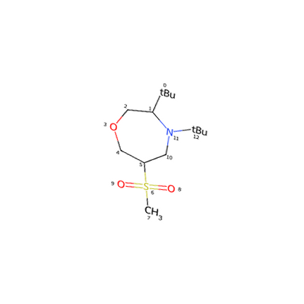 CC(C)(C)C1COCC(S(C)(=O)=O)CN1C(C)(C)C